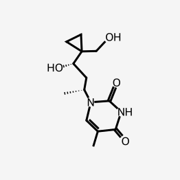 Cc1cn([C@H](C)C[C@H](O)C2(CO)CC2)c(=O)[nH]c1=O